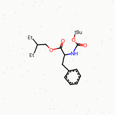 CCC(CC)COC(=O)C(Cc1ccccc1)NC(=O)OC(C)(C)C